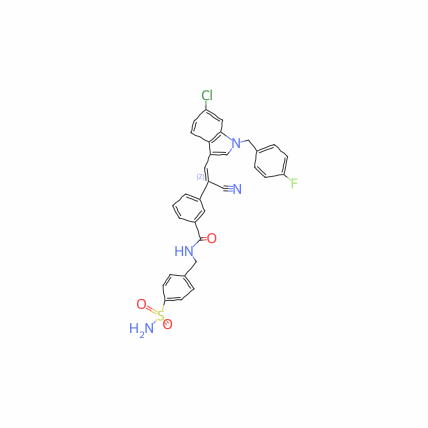 N#C/C(=C\c1cn(Cc2ccc(F)cc2)c2cc(Cl)ccc12)c1cccc(C(=O)NCc2ccc(S(N)(=O)=O)cc2)c1